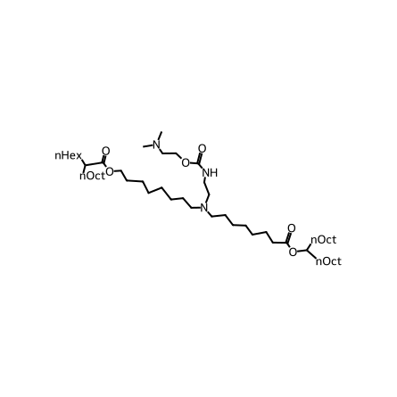 CCCCCCCCC(CCCCCCCC)OC(=O)CCCCCCCN(CCCCCCCCOC(=O)C(CCCCCC)CCCCCCCC)CCNC(=O)OCCN(C)C